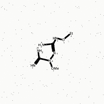 CCONC(N)=NN(OC)C(=N)N